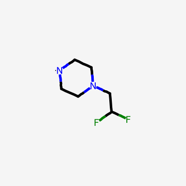 FC(F)CN1CC[N]CC1